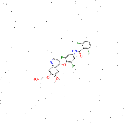 COc1cc2c(Oc3c(F)cc(NC(=O)c4c(F)cccc4F)cc3F)ccnc2cc1OCCO